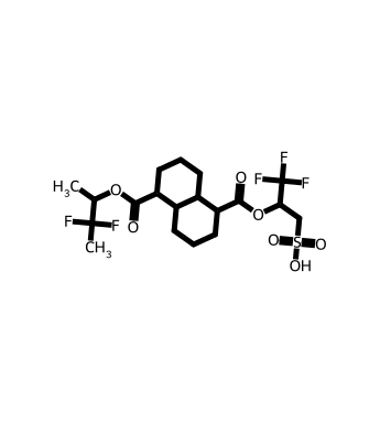 CC(OC(=O)C1CCCC2C(C(=O)OC(CS(=O)(=O)O)C(F)(F)F)CCCC12)C(C)(F)F